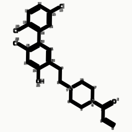 C=CC(=O)N1CCN(CCc2cc(-c3cc(Cl)ccc3Cl)c(Cl)cc2O)CC1